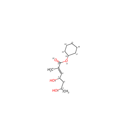 CC(=CC(O)CC(C)O)C(=O)OC1CCCCC1